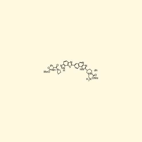 COC(=O)N[C@H](C(=O)N1CCC[C@H]1c1nc2ccc3nc(-c4ccc5c(cnc6nc(C(CCCN)C[C@@H](NC(=O)OC)C(C)C)[nH]c65)c4)sc3c2[nH]1)C(C)C